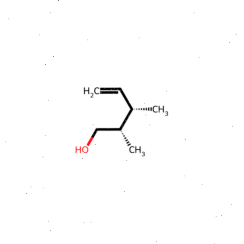 C=C[C@H](C)[C@H](C)CO